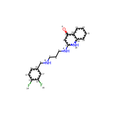 O=c1cc(NCCCNCc2ccc(F)c(F)c2)[nH]c2ccccc12